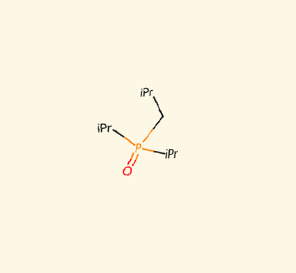 CC(C)CP(=O)(C(C)C)C(C)C